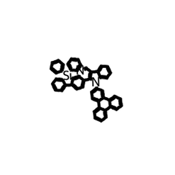 c1ccc([Si]2(c3ccccc3)c3ccccc3-c3ccc4c(ncc5c6ccccc6n(-c6ccc7c8ccccc8c8ccccc8c7c6)c45)c32)cc1